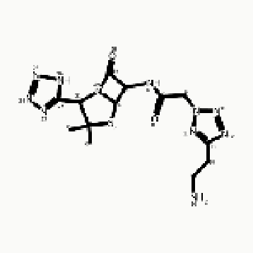 CC1(C)SC2C(NC(=O)Cn3nnc(CCN)n3)C(=O)N2C1c1nnn[nH]1